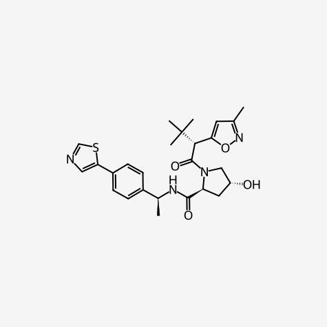 Cc1cc([C@H](C(=O)N2C[C@H](O)C[C@H]2C(=O)N[C@@H](C)c2ccc(-c3cncs3)cc2)C(C)(C)C)on1